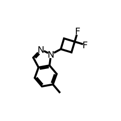 Cc1ccc2cnn(C3CC(F)(F)C3)c2c1